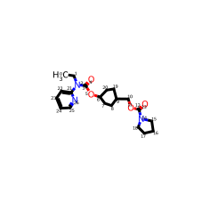 CCN(C(=O)OC1CCC(COC(=O)N2CCCC2)CC1)c1ccccn1